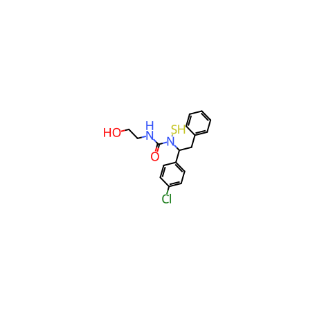 O=C(NCCO)N(S)C(Cc1ccccc1)c1ccc(Cl)cc1